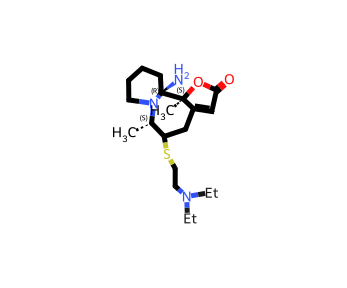 CCN(CC)CCSC1CC2=CC(=O)O[C@]2(C)[C@@]2(N)CCCCN2[C@H]1C